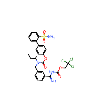 CCC(C)N(Cc1cccc(C(=N)NC(=O)OCC(Cl)(Cl)Cl)c1)C(=O)Oc1ccc(-c2ccccc2S(N)(=O)=O)cc1